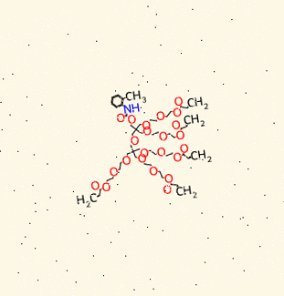 C=CC(=O)OCCOCCOCC(COCCOCCOC(=O)C=C)(COCCOCCOC(=O)C=C)COCC(COCCOCCOC(=O)C=C)(COCCOCCOC(=O)C=C)COC(=O)Nc1ccccc1C